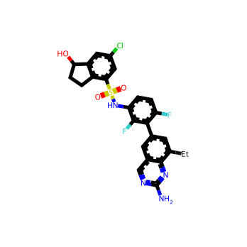 CCc1cc(-c2c(F)ccc(NS(=O)(=O)c3cc(Cl)cc4c3CCC4O)c2F)cc2cnc(N)nc12